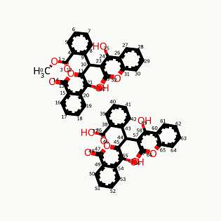 COC(=O)c1ccccc1C(c1oc(=O)c2ccccc2c1O)c1c(O)c2ccccc2oc1=O.O=C(O)c1ccccc1C(c1oc(=O)c2ccccc2c1O)c1c(O)c2ccccc2oc1=O